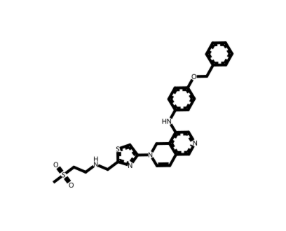 CS(=O)(=O)CCNCc1nc(N2C=Cc3cncc(Nc4ccc(OCc5ccccc5)cc4)c3C2)cs1